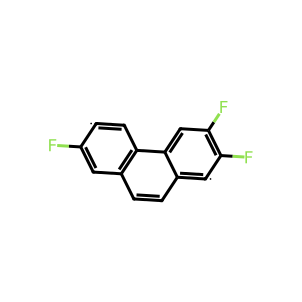 Fc1[c]cc2c(ccc3[c]c(F)c(F)cc32)c1